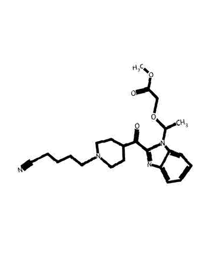 COC(=O)COC(C)n1c(C(=O)C2CCN(CCCCC#N)CC2)nc2ccccc21